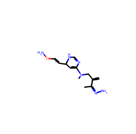 C=C(CN(C)C1=CC(/C=C/ON)NC=N1)/C(C)=N\N